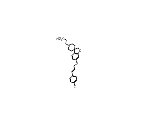 O=C(O)CCN1CCC2(CC1)COc1cc(OC/C=C/c3ccc(Cl)cc3)ccc12